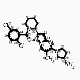 Cc1cn2nc([C@@H]3CCCCN3C(=O)c3cc(Cl)ccc3Cl)cc2nc1N1CC[C@H](N)C1